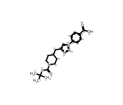 CC(C)(C)OC(=O)N1CCC(Cc2cn(-c3ccc(C(=O)O)cc3)nn2)CC1